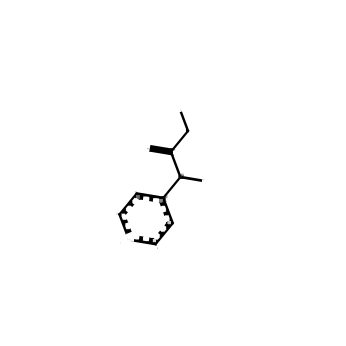 CCOC(=O)CC(=O)C(C(=O)OCC)c1ccncc1